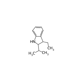 CCC1c2ccccc2NC1C(C)C